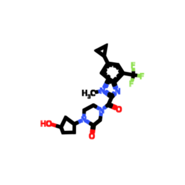 Cn1c(C(=O)N2CCN(C3CCC(O)C3)C(=O)C2)nc2c(C(F)(F)F)cc(C3CC3)cc21